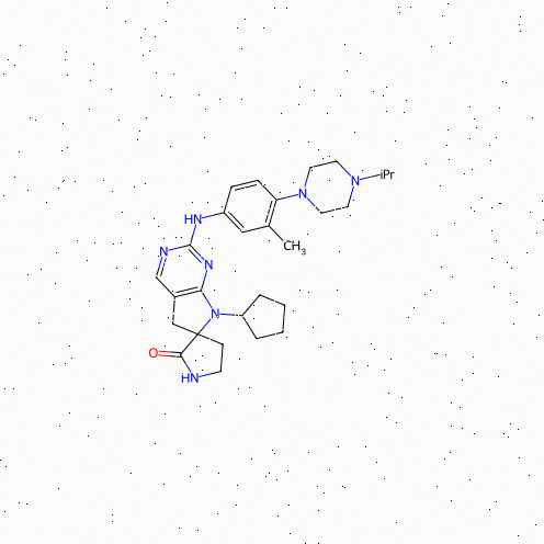 Cc1cc(Nc2ncc3c(n2)N(C2CCCC2)C2(CCNC2=O)C3)ccc1N1CCN(C(C)C)CC1